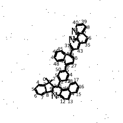 CC1(C)c2ccccc2-c2nc3ccc4ccccc4c3c(-c3ccc(-c4ccc(-c5cnc6c(ccc7cccnc76)c5)c5ccccc45)cc3)c21